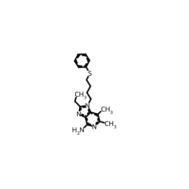 CCc1nc2c(N)nc(C)c(C)c2n1CCCCSc1ccccc1